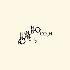 CN1C(CNC2=CC(C(=O)O)=CCC2)=NNC1C1CCC=NC=N1